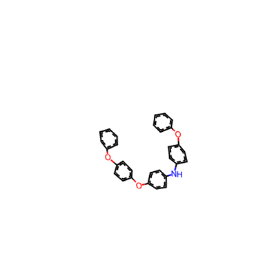 c1ccc(Oc2ccc(Nc3ccc(Oc4ccc(Oc5ccccc5)cc4)cc3)cc2)cc1